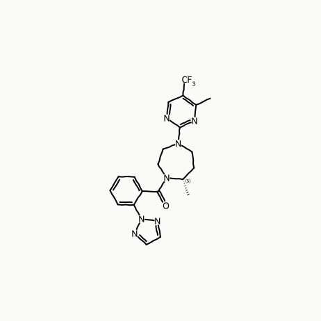 Cc1nc(N2CC[C@H](C)N(C(=O)c3ccccc3-n3nccn3)CC2)ncc1C(F)(F)F